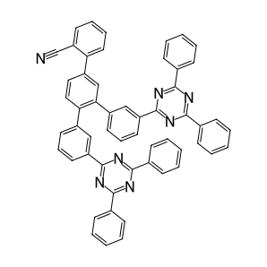 N#Cc1ccccc1-c1ccc(-c2cccc(-c3nc(-c4ccccc4)nc(-c4ccccc4)n3)c2)c(-c2cccc(-c3nc(-c4ccccc4)nc(-c4ccccc4)n3)c2)c1